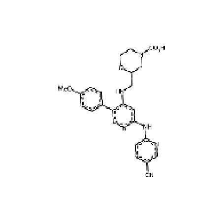 COc1ccc(-c2cnc(Nc3cnc(C#N)cn3)cc2NCC2CN(C(=O)O)CCO2)cc1